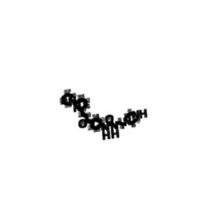 O=C(NCCN1CCNCC1)Nc1ccc(C(=O)C=Cc2cccc(N3CCCCC3)n2)cc1